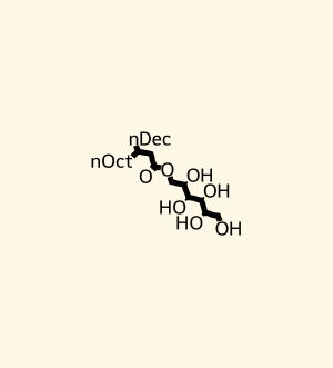 CCCCCCCCCCC(CCCCCCCC)CC(=O)OC[C@H](O)[C@@H](O)[C@H](O)[C@H](O)CO